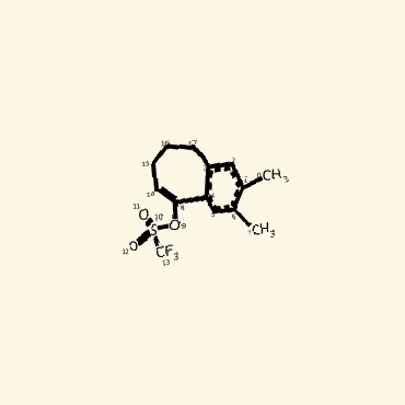 Cc1cc2c(cc1C)C(OS(=O)(=O)C(F)(F)F)=CCCC2